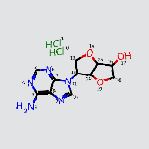 Cl.Cl.Nc1ncnc2c1ncn2C1COC2C(O)COC21